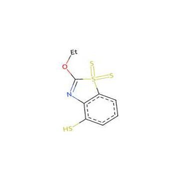 CCOC1=Nc2c(S)cccc2S1(=S)=S